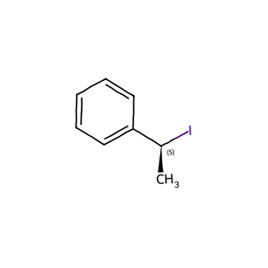 C[C@H](I)c1ccccc1